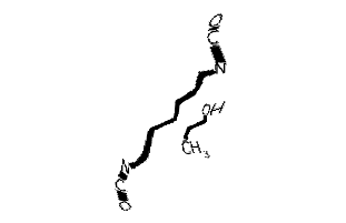 CCCO.O=C=NCCCCCCN=C=O